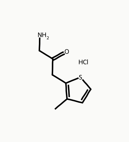 Cc1ccsc1CC(=O)CN.Cl